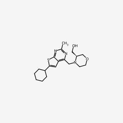 Cc1nc(CN2CCOC[C@@H]2CO)c2cc(C3CCCCC3)sc2n1